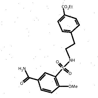 CCOC(=O)c1ccc(CCNS(=O)(=O)c2cc(C(N)=O)ccc2OC)cc1